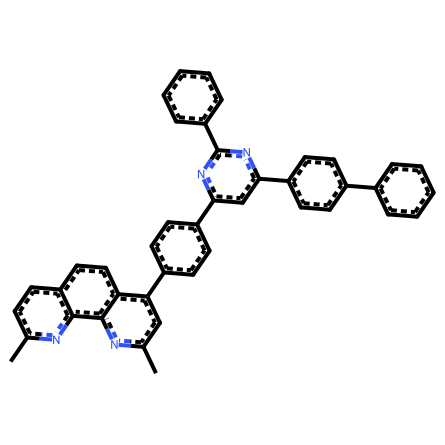 Cc1ccc2ccc3c(-c4ccc(-c5cc(-c6ccc(-c7ccccc7)cc6)nc(-c6ccccc6)n5)cc4)cc(C)nc3c2n1